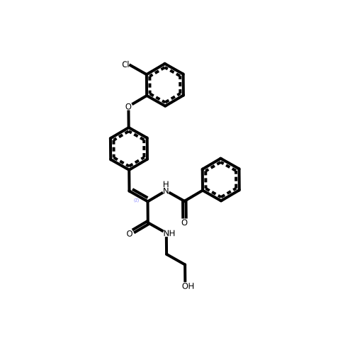 O=C(NCCO)/C(=C/c1ccc(Oc2ccccc2Cl)cc1)NC(=O)c1ccccc1